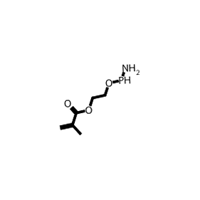 C=C(C)C(=O)OCCOPN